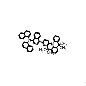 CC1(C)c2ccccc2N2c3ccc(-c4ccc(N(c5cccc6ccccc56)C5CC=Cc6ccccc65)c5ccccc45)cc3C(C)(C)c3cccc1c32